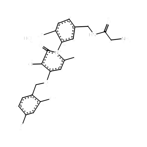 Cc1cc(OCc2ccc(F)cc2F)c(Cl)c(=O)n1-c1cc(CNC(=O)CN)ccc1F.Cl